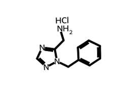 Cl.NCc1ncnn1Cc1ccccc1